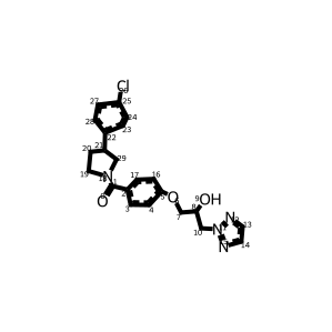 O=C(c1ccc(OCC(O)Cn2nccn2)cc1)N1CCC(c2ccc(Cl)cc2)C1